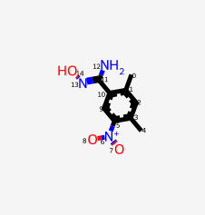 Cc1cc(C)c([N+](=O)[O-])cc1/C(N)=N/O